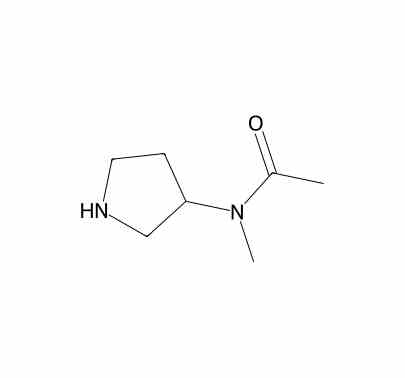 CC(=O)N(C)C1CCNC1